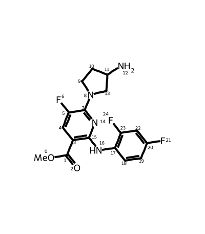 COC(=O)c1cc(F)c(N2CCC(N)C2)nc1Nc1ccc(F)cc1F